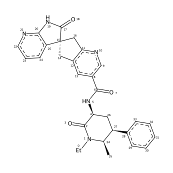 CCN1C(=O)[C@@H](NC(=O)c2cnc3c(c2)C[C@@]2(C3)C(=O)Nc3ncccc32)C[C@@H](c2ccccc2)[C@H]1C